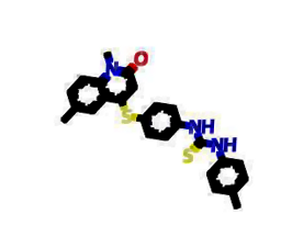 Cc1ccc(NC(=S)Nc2ccc(Sc3cc(=O)n(C)c4ccc(C)cc34)cc2)cc1